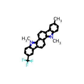 Cc1ccc2c(c1)c1ccc3c(ccc4c5cc(C(F)(F)F)ccc5n(C)c43)c1n2C